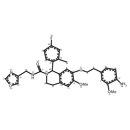 COc1cc(CCOc2cc3c(cc2OC)CCN(C(=O)NCc2cocn2)C3c2ccc(F)cc2C)ccc1N